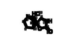 Cl.O=C1NC[C@@]2(CN3CCC2CC3)O1